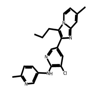 CCCc1c(-c2cnc(Nc3ccc(C)nc3)c(Cl)c2)nc2cc(C)ccn12